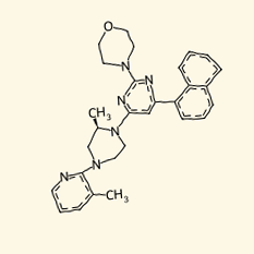 Cc1cccnc1N1CCN(c2cc(-c3cccc4ccccc34)nc(N3CCOCC3)n2)[C@H](C)C1